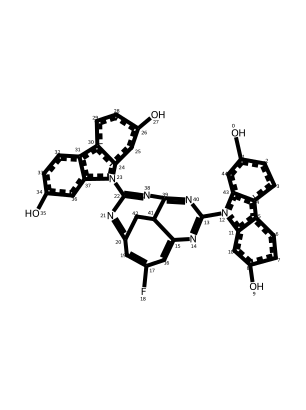 Oc1ccc2c3ccc(O)cc3n(C3=NC4=CC(F)=CC5=NC(n6c7cc(O)ccc7c7ccc(O)cc76)=NC(=N3)C4C5)c2c1